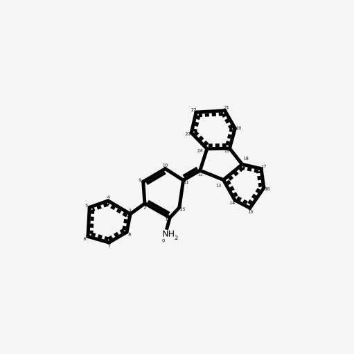 NC1=C(c2ccccc2)C=CC(=C2c3ccccc3-c3ccccc32)C1